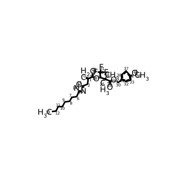 C=C(Cc1nc(CCCCCCCC)no1)C(=O)OC(C(F)(F)F)C(C)(C)C(=O)OCc1ccc(OC)cc1